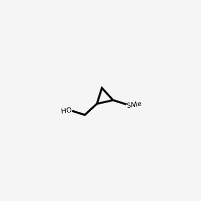 CSC1CC1CO